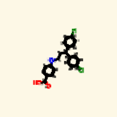 O=C(O)c1ccc(NCCC(c2ccc(Cl)cc2)c2ccc(Cl)cc2)cc1